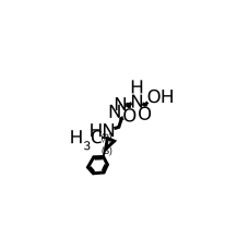 C[C@@]1(NCc2nnc(NC(=O)O)o2)C[C@H]1c1ccccc1